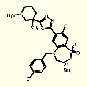 CN1CCCC(C)(c2nnc(-c3cc4c(cc3F)S(=O)(=O)C[C@H](N)CN4Cc3ccc(Cl)cc3)o2)C1